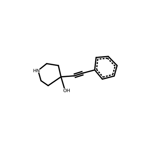 OC1(C#Cc2ccccc2)CCNCC1